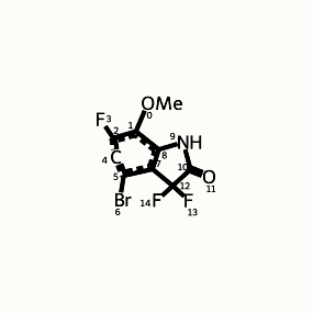 COc1c(F)cc(Br)c2c1NC(=O)C2(F)F